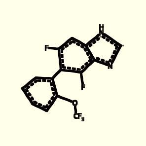 Fc1cc2[nH][c]nc2c(F)c1-c1ccccc1OC(F)(F)F